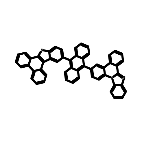 c1ccc2c(c1)nc1c3ccccc3c3cc(-c4c5ccccc5c(-c5ccc6sc7c8ccccc8c8ccccc8c7c6c5)c5ccccc45)ccc3n21